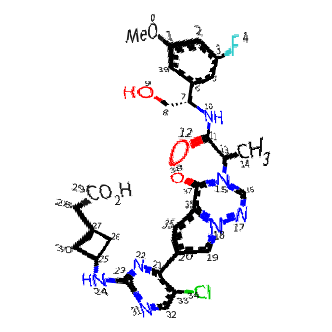 COc1cc(F)cc([C@@H](CO)NC(=O)C(C)n2cnn3cc(-c4nc(NC5CC(CC(=O)O)C5)ncc4Cl)cc3c2=O)c1